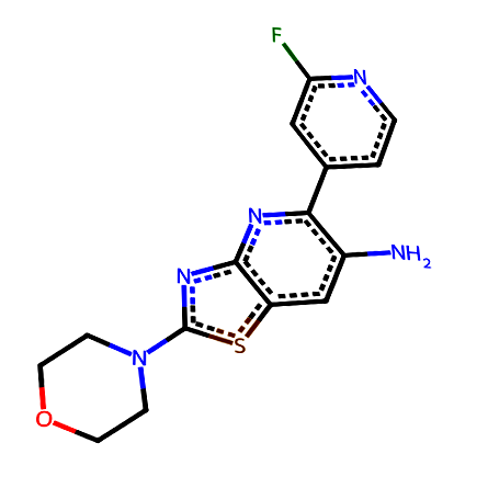 Nc1cc2sc(N3CCOCC3)nc2nc1-c1ccnc(F)c1